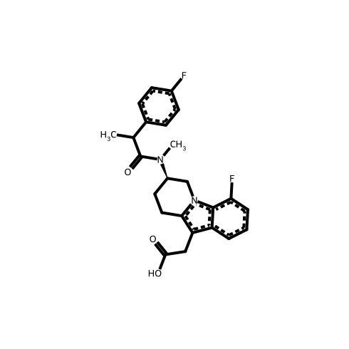 CC(C(=O)N(C)[C@@H]1CCc2c(CC(=O)O)c3cccc(F)c3n2C1)c1ccc(F)cc1